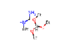 CCCNCN.CCO[SiH](OCC)OCC